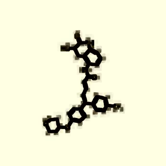 O=C(C=CC=C(c1ccc(OC2CCOCC2)cc1)c1ccc(C(F)(F)F)cc1)Nc1cccc2c1CC(O)C(=O)N2